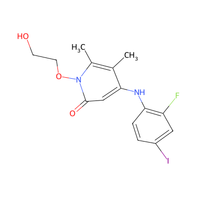 Cc1c(Nc2ccc(I)cc2F)cc(=O)n(OCCO)c1C